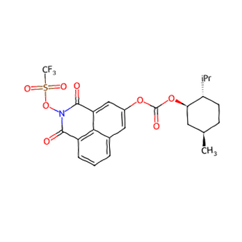 CC(C)[C@@H]1CC[C@@H](C)C[C@H]1OC(=O)Oc1cc2c3c(cccc3c1)C(=O)N(OS(=O)(=O)C(F)(F)F)C2=O